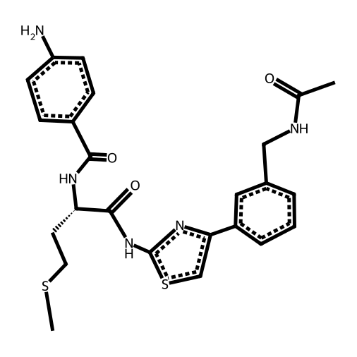 CSCC[C@H](NC(=O)c1ccc(N)cc1)C(=O)Nc1nc(-c2cccc(CNC(C)=O)c2)cs1